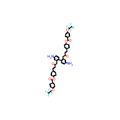 Nc1ccc(-c2ccc(N)cc2CC(=O)/C=C/c2ccc(OC(=O)c3ccc(OC(F)(F)C(F)F)cc3)cc2)c(CC(=O)/C=C/c2ccc(OC(=O)c3ccc(OC(F)(F)C(F)F)cc3)cc2)c1